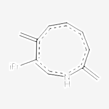 C=c1ccccc(=C)c(C(C)C)c[nH]1